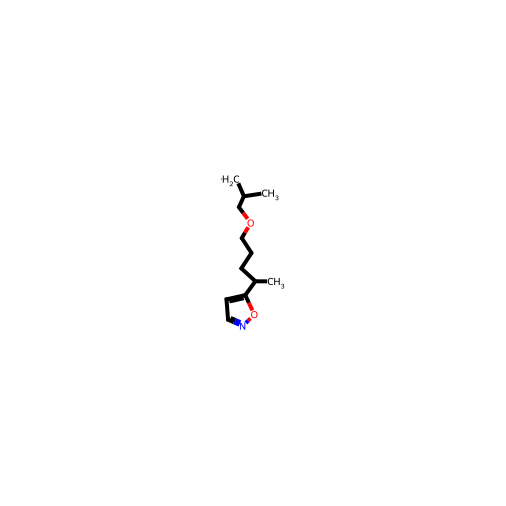 [CH2]C(C)COCCCC(C)c1ccno1